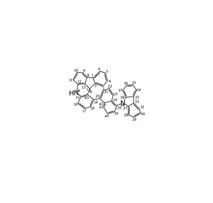 CC12c3ccccc3-c3cccc(c31)Nc1cccc(-c3cccc4c(-n5c6ccccc6c6ccccc65)cccc34)c12